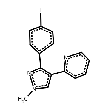 Cn1cc(-c2ccccn2)c(-c2ccc(I)cc2)n1